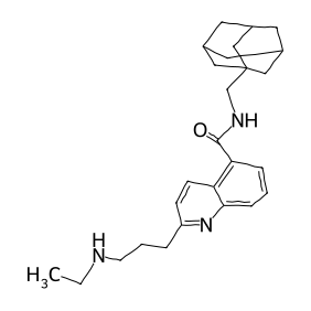 CCNCCCc1ccc2c(C(=O)NCC34CC5CC(CC(C5)C3)C4)cccc2n1